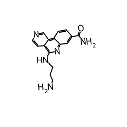 NCCCNc1nc2cc(C(N)=O)ccc2c2cnccc12